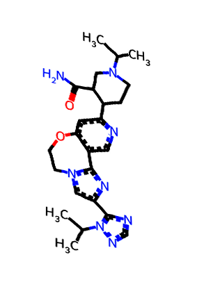 CC(C)N1CCC(c2cc3c(cn2)-c2nc(-c4ncnn4C(C)C)cn2CCO3)C(C(N)=O)C1